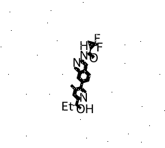 CC[C@@H](O)c1cc(C)c(-c2ccc3cc(NC(=O)[C@H]4CC4(F)F)ncc3c2)cn1